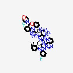 C[C@H](Nc1nc(N(c2ncnc3cccnc23)[C@@H](C)c2nc3ccc(F)cc3n2-c2ccccc2)nc(N)c1C#N)c1nc2ccc(F)c(C(=O)N3CCOCC3)c2n1-c1ccccc1